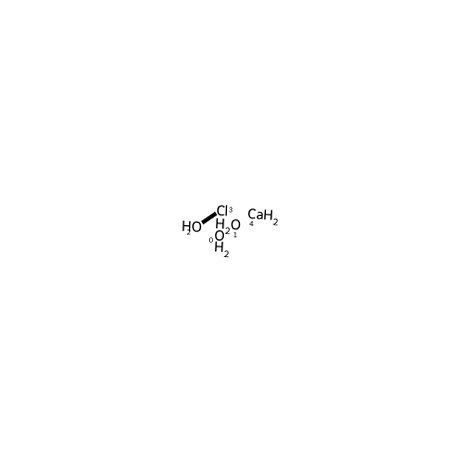 O.O.OCl.[CaH2]